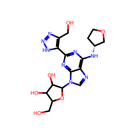 OCc1nn[nH]c1-c1nc(N[C@@H]2CCOC2)c2ncn(C3OC(CO)C(O)C3O)c2n1